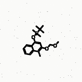 COCOc1cc(O[Si](C)(C)C(C)(C)C)c2ccccc2c1C